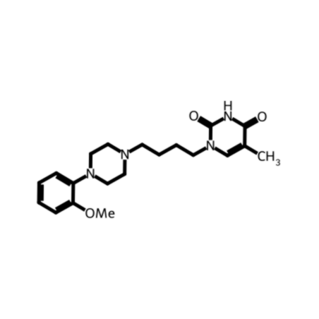 COc1ccccc1N1CCN(CCCCn2cc(C)c(=O)[nH]c2=O)CC1